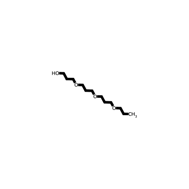 CCCOCCCOCCCOCCCO